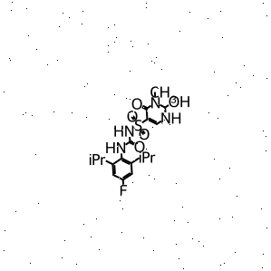 CC(C)c1cc(F)cc(C(C)C)c1NC(=O)NS(=O)(=O)C1=CNC(O)N(C)C1=O